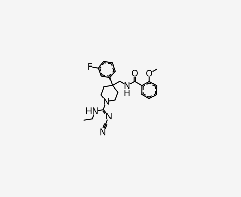 CCN/C(=N\C#N)N1CCC(CNC(=O)c2ccccc2OC)(c2cccc(F)c2)CC1